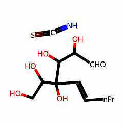 CCCC=CC(O)(C(O)CO)C(O)C(O)C=O.N=C=S